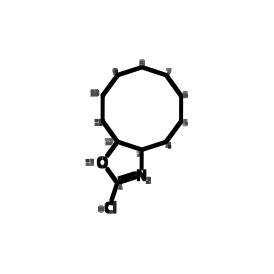 ClC1=NC2CCCCCCCCC2O1